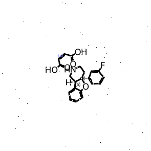 Fc1cccc([C@@]23CCNC[C@@H]2c2ccccc2O3)c1.O=C(O)/C=C\C(=O)O